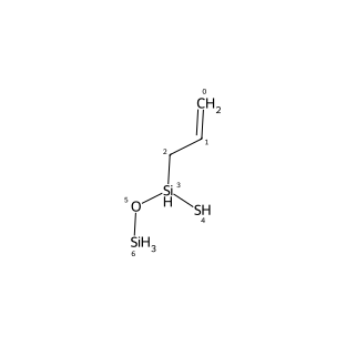 C=CC[SiH](S)O[SiH3]